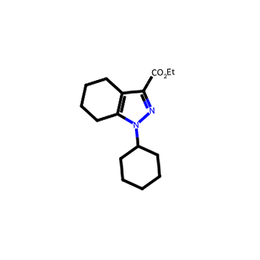 CCOC(=O)c1nn(C2CCCCC2)c2c1CCCC2